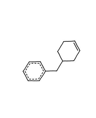 C1=CCC(Cc2ccccc2)CC1